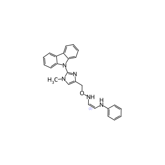 Cn1cc(CON/C=C\Nc2ccccc2)nc1-n1c2ccccc2c2ccccc21